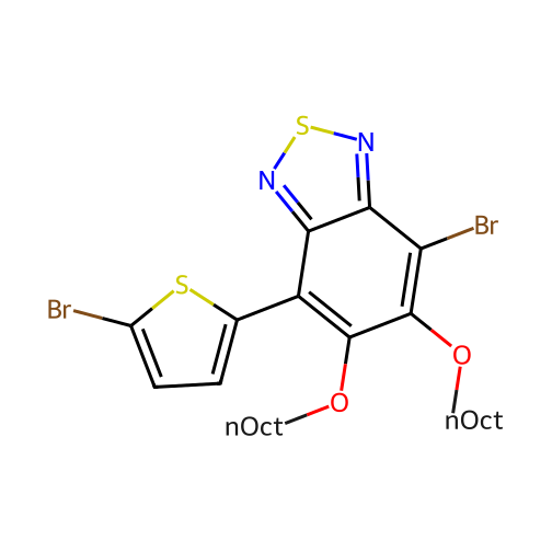 CCCCCCCCOc1c(OCCCCCCCC)c(-c2ccc(Br)s2)c2nsnc2c1Br